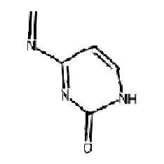 C=Nc1cc[nH]c(=O)n1